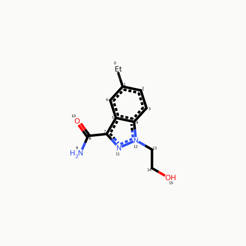 CCc1[c]cc2c(c1)c(C(N)=O)nn2CCO